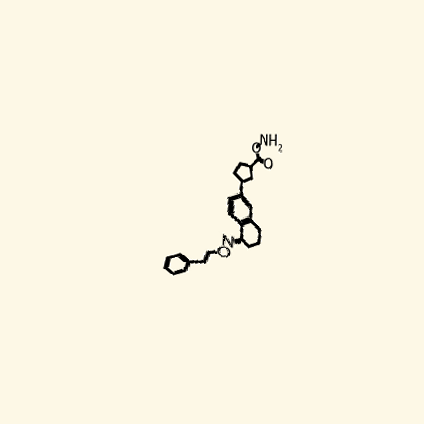 NOC(=O)C1CCC(c2ccc3c(c2)CCCC3=NOCCc2ccccc2)C1